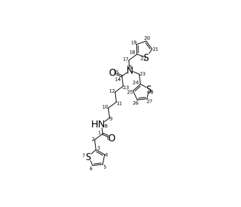 O=C(Cc1cccs1)NCCCC[CH]C(=O)N(Cc1cccs1)Cc1cccs1